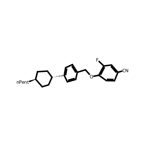 CCCCC[C@H]1CC[C@H](c2ccc(COc3ccc(C#N)cc3F)cc2)CC1